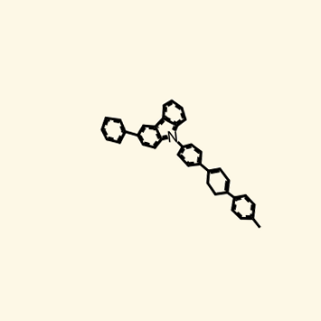 Cc1ccc(C2=CC=C(c3ccc(-n4c5ccccc5c5cc(-c6ccccc6)ccc54)cc3)CC2)cc1